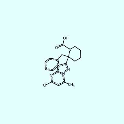 Cc1cc(Cl)nc2cc(C3(Cc4ccccc4)CCCCN3C(=O)O)nn12